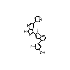 Oc1cc(F)cc(-c2cccc3[nH]c(-c4n[nH]c5ncc(-c6cnccn6)cc45)cc23)c1